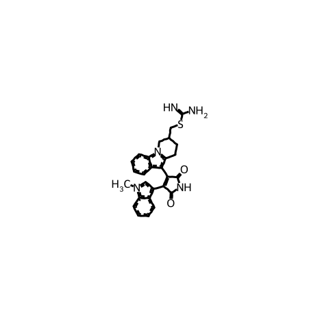 Cn1cc(C2=C(c3c4n(c5ccccc35)CC(CSC(=N)N)CC4)C(=O)NC2=O)c2ccccc21